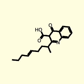 CCCC=CCCC(C)C1=Nc2ccccc2C(=O)C1C(=O)O